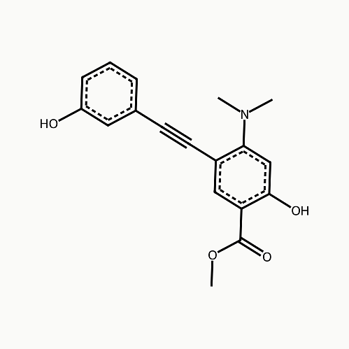 COC(=O)c1cc(C#Cc2cccc(O)c2)c(N(C)C)cc1O